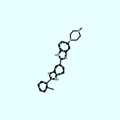 CN1CCN(c2ccc3[nH]c(-c4ccc5[nH]c(-c6ccccc6I)nc5c4)nc3c2)CC1